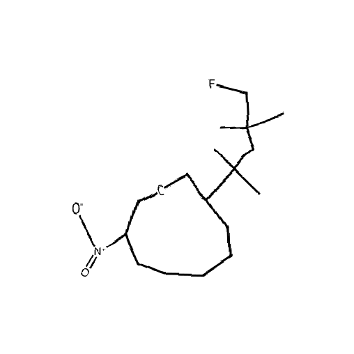 CC(C)(CF)CC(C)(C)C1CCCCCC([N+](=O)[O-])CCC1